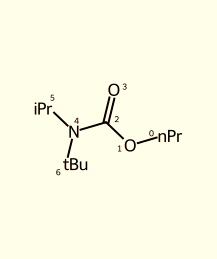 CCCOC(=O)N(C(C)C)C(C)(C)C